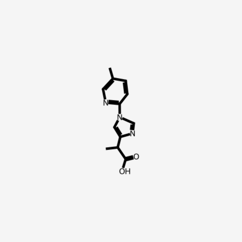 Cc1ccc(-n2cnc(C(C)C(=O)O)c2)nc1